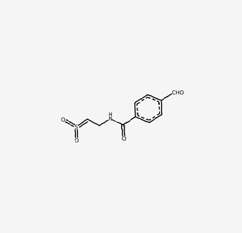 O=Cc1ccc(C(=O)NCC=S(=O)=O)cc1